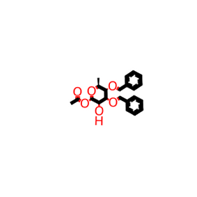 CC(=O)O[C@H]1O[C@@H](C)[C@H](OCc2ccccc2)[C@@H](OCc2ccccc2)[C@H]1O